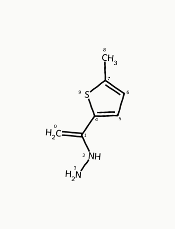 C=C(NN)c1ccc(C)s1